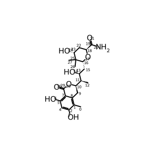 Cc1c(O)cc(O)c2c1C[C@H]([C@H](C)[C@@H](O)C[C@H]1O[C@H](C(N)=O)C[C@@H](O)C1(C)C)OC2=O